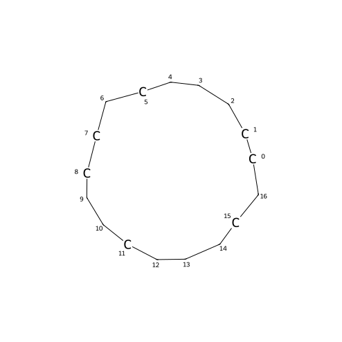 C1CCCCCCCCCCCCCCCC1